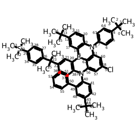 CC(C)(C)c1ccc(N2c3ccc(C(C)(C)C)cc3B3c4cc(C(C)(C)c5ccc([Si](C)(C)C)cc5)ccc4N(c4ccc(C(C)(C)C)cc4-c4ccccc4)c4cc(Cl)cc2c43)cc1